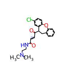 CN(C)CCNC(=O)/C=C/C(=O)C1Cc2ccccc2Oc2ccc(Cl)cc21